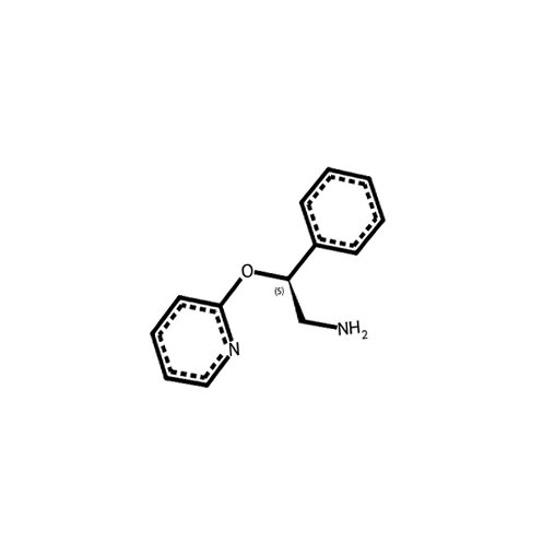 NC[C@@H](Oc1ccccn1)c1ccccc1